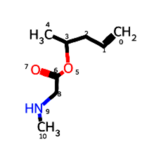 C=CCC(C)OC(=O)CNC